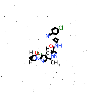 Cc1c([C@@H](C)n2cc(C(=O)N[C@H]3C[C@@H](c4cc(Cl)ccc4C#N)C3)cn2)cnc(N2C[C@H]3C[C@H]3C2=O)c1Cl